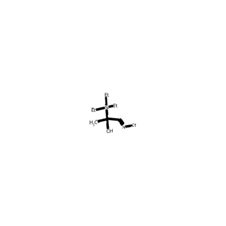 CCN=CC(C)(O)[Si](CC)(CC)CC